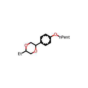 CCCCCOc1ccc(C2COC(CC)CO2)cc1